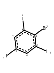 Brc1c(I)cc(I)cc1I